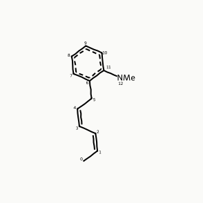 C/C=C\C=C/Cc1ccccc1NC